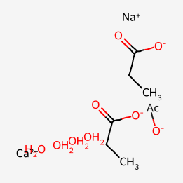 CC(=O)[O-].CCC(=O)[O-].CCC(=O)[O-].O.O.O.O.[Ca+2].[Na+]